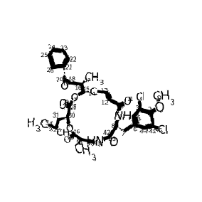 COc1c(Cl)cc(C[C@H]2NC(=O)/C=C/C[C@@H]([C@H](C)[C@H]3O[C@@H]3c3ccccc3)OC(=O)[C@H](CC(C)C)OC(=O)[C@H](C)CNC2=O)cc1Cl